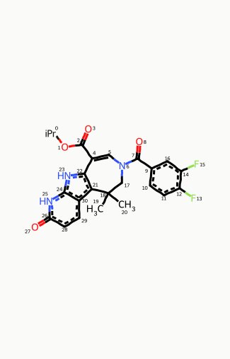 CC(C)OC(=O)C1=CN(C(=O)c2ccc(F)c(F)c2)CC(C)(C)c2c1[nH]c1[nH]c(=O)ccc21